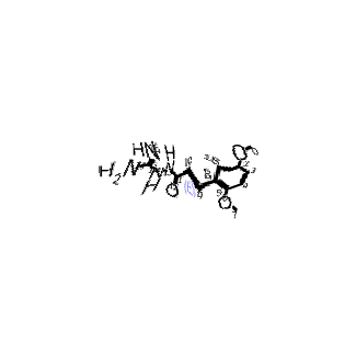 COc1ccc(OC)c(/C=C/C(=O)NNC(=N)N)c1